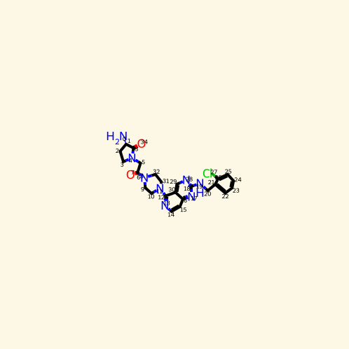 N[C@H]1CCN(CC(=O)N2CCN(c3nccc4nc(NCc5ccccc5Cl)ncc34)CC2)C1=O